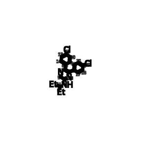 CCC(CC)Nc1cnc(-c2ccc(Cl)cc2)c(-c2ccc(Cl)cc2)n1